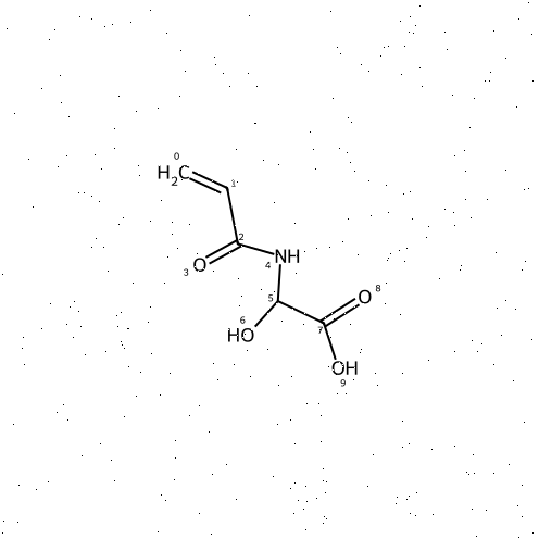 C=CC(=O)NC(O)C(=O)O